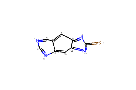 S=C1N=c2cc3cncnc3cc2=N1